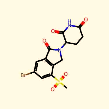 CS(=O)(=O)c1cc(Br)cc2c1CN(C1CCC(=O)NC1=O)C2=O